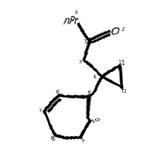 CCCC(=O)CC1(C2C=CCCC2)CC1